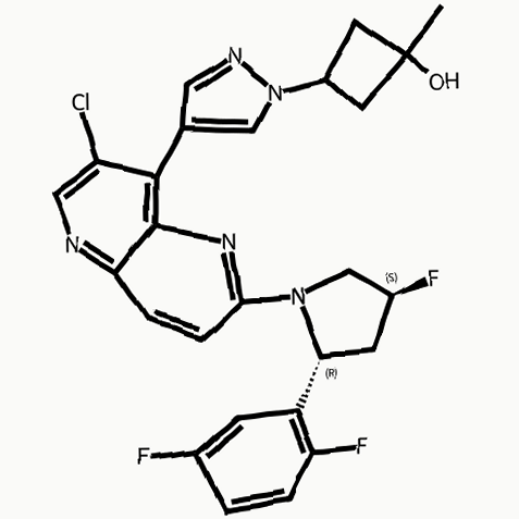 CC1(O)CC(n2cc(-c3c(Cl)cnc4ccc(N5C[C@@H](F)C[C@@H]5c5cc(F)ccc5F)nc34)cn2)C1